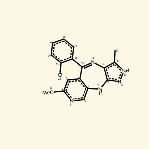 COc1cc2c(cn1)Nc1n[nH]c(C)c1N=C2c1ccccc1Cl